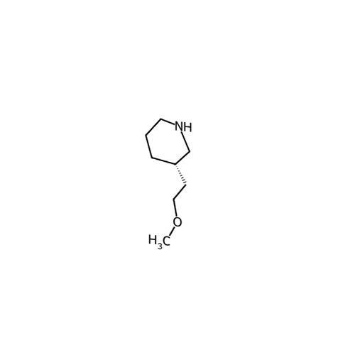 COCC[C@@H]1CCCNC1